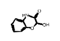 O=C1Nc2ccccc2OC1O